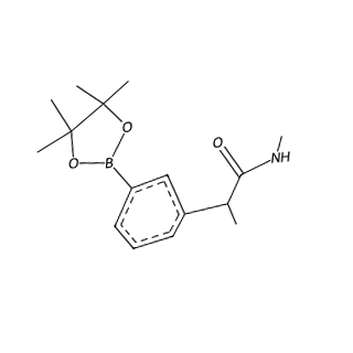 CNC(=O)C(C)c1cccc(B2OC(C)(C)C(C)(C)O2)c1